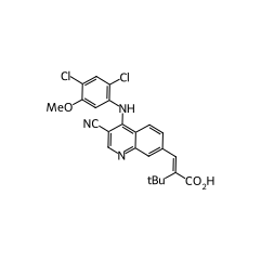 COc1cc(Nc2c(C#N)cnc3cc(C=C(C(=O)O)C(C)(C)C)ccc23)c(Cl)cc1Cl